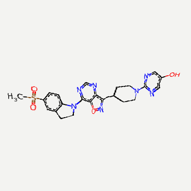 CS(=O)(=O)c1ccc2c(c1)CCN2c1ncnc2c(C3CCN(c4ncc(O)cn4)CC3)noc12